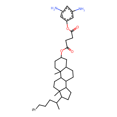 CC(C)CCCC(C)C1CCC2C3CCC4CC(OC(=O)CCC(=O)Oc5cc(N)cc(N)c5)CCC4(C)C3CCC12C